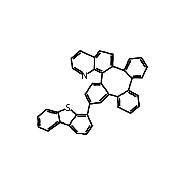 c1ccc2c(c1)-c1ccccc1-c1ccc3cccnc3c1-c1ccc(-c3cccc4c3sc3ccccc34)cc1-2